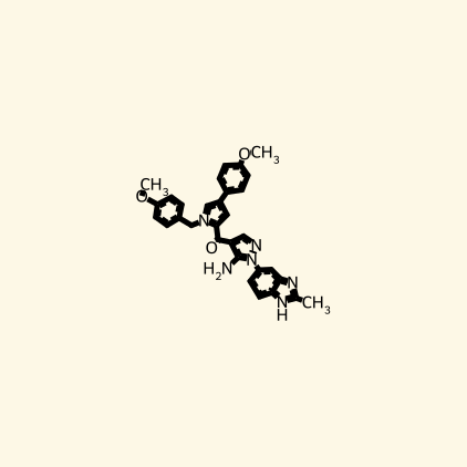 COc1ccc(Cn2cc(-c3ccc(OC)cc3)cc2C(=O)c2cnn(-c3ccc4[nH]c(C)nc4c3)c2N)cc1